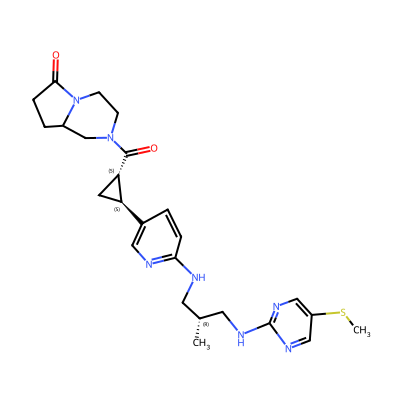 CSc1cnc(NC[C@H](C)CNc2ccc([C@H]3C[C@@H]3C(=O)N3CCN4C(=O)CCC4C3)cn2)nc1